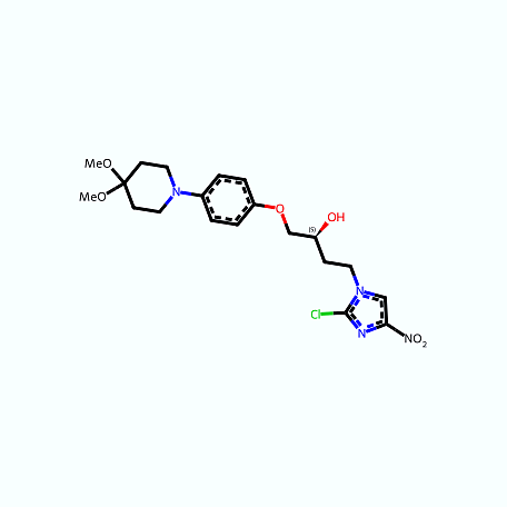 COC1(OC)CCN(c2ccc(OC[C@@H](O)CCn3cc([N+](=O)[O-])nc3Cl)cc2)CC1